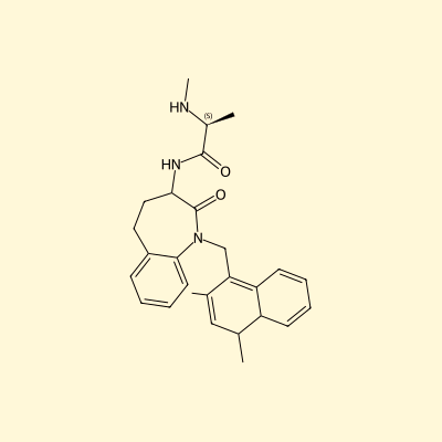 CN[C@@H](C)C(=O)NC1CCc2ccccc2N(CC2=C3C=CC=CC3C(C)C=C2C)C1=O